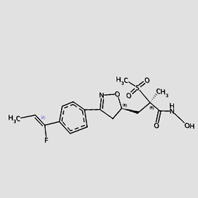 C/C=C(\F)c1ccc(C2=NO[C@@H](C[C@](C)(C(=O)NO)S(C)(=O)=O)C2)cc1